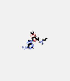 CCCN(C)C[C@H]1C[C@]12OC(n1cnc3c(N)ncnc31)C1OC(C)(C)OC12